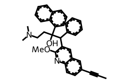 CC#Cc1ccc2nc(OC)c(C(c3ccccc3)C(O)(CCN(C)C)c3cccc4ccccc34)cc2c1